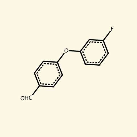 O=Cc1ccc(Oc2cccc(F)c2)cc1